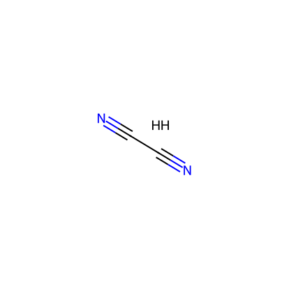 N#CC#N.[HH]